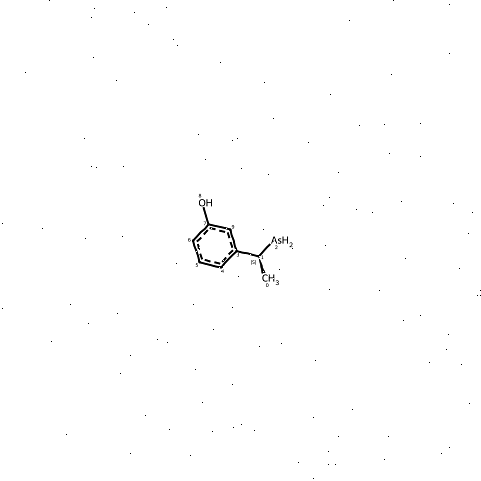 C[C@H]([AsH2])c1cccc(O)c1